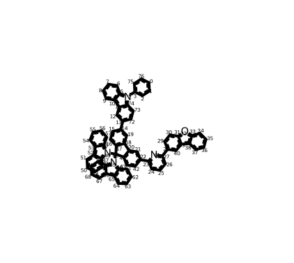 c1ccc(-n2c3ccccc3c3cc(-c4ccc5c(c4)-c4cc(-c6cccc(-c7ccc8oc9ccccc9c8c7)n6)ccc4C5(n4c5ccccc5c5ccccc54)n4c5ccccc5c5ccccc54)ccc32)cc1